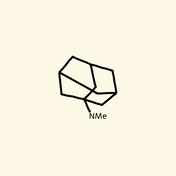 [CH2]NC12CC3CC(CC(C3)C1)C2